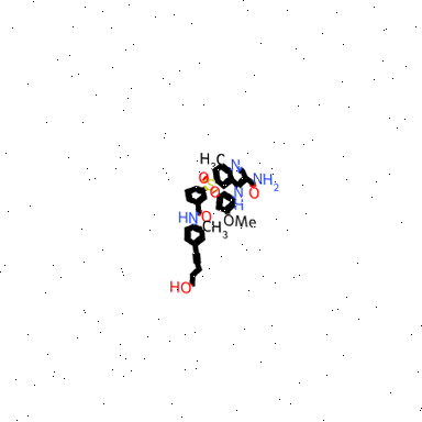 COc1cccc(Nc2c(C(N)=O)cnc3c(C)cc(S(=O)(=O)c4cccc(C(=O)Nc5ccc(C#CCCCO)cc5C)c4)cc23)c1